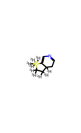 [2H]C12CC=NC=C1S([2H])([2H])([2H])([2H])C([2H])([2H])C2([2H])[2H]